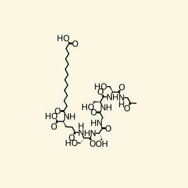 CC(=O)CNC(=O)[C@H](CO)NC(=O)[C@H](CO)NC(=O)CNC(=O)[C@H](CO)NC(=O)[C@H](CO)NC(=O)CC[C@H](NC(=O)CCCCCCCCCCCCC(=O)O)C(=O)O